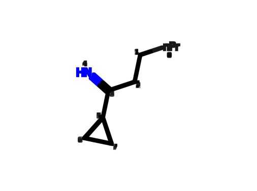 CCCC[CH]C(=N)C1CC1